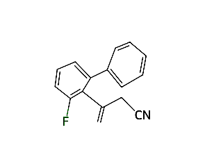 C=C(CC#N)c1c(F)cccc1-c1ccccc1